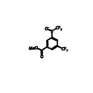 COC(=O)c1cc([S+]([O-])C(F)(F)F)cc(C(F)(F)F)c1